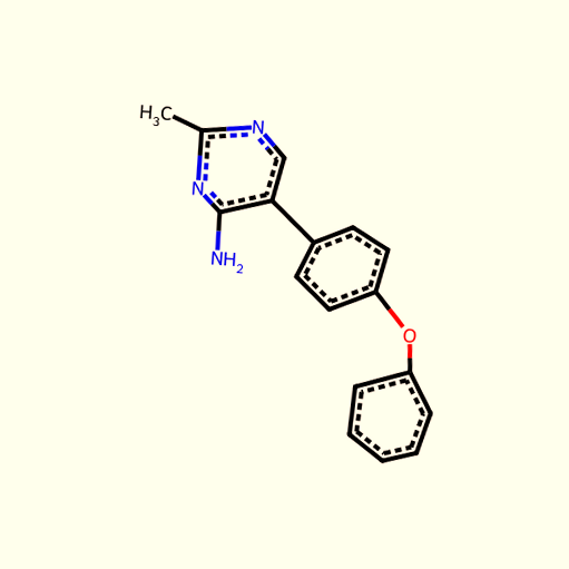 Cc1ncc(-c2ccc(Oc3ccccc3)cc2)c(N)n1